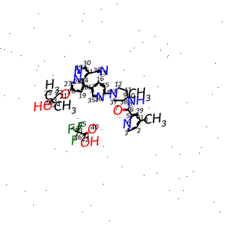 Cc1ccnc(C(=O)NC2(C)CCN(c3ccc(-c4cc(OCC(C)(C)O)cn5ncc(C#N)c45)cn3)CC2)c1.O=C(O)C(F)(F)F